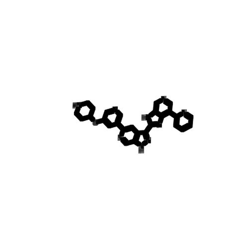 c1ccc(-c2cncc3[nH]c(-c4n[nH]c5cnc(-c6cncc(OC7CCNCC7)c6)cc45)nc23)nc1